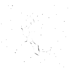 CCC1CN(C(=O)c2nn3c(C(F)(F)F)cc(C4CC4)cc3c2Cl)CC(=O)N1C1CCC(O)CC1